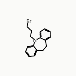 BrCCCN1c2ccccc2CCc2ccccc21